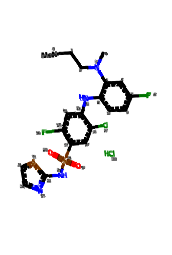 CNCCN(C)c1cc(F)ccc1Nc1cc(F)c(S(=O)(=O)Nc2nccs2)cc1Cl.Cl